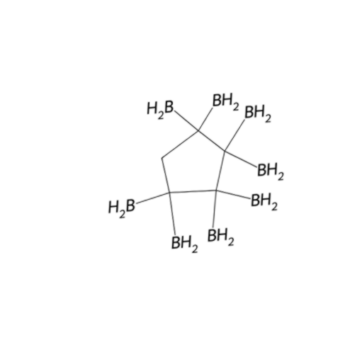 BC1(B)CC(B)(B)C(B)(B)C1(B)B